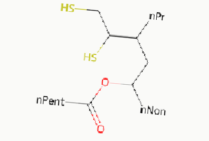 CCCCCCCCCC(CC(CCC)C(S)CS)OC(=O)CCCCC